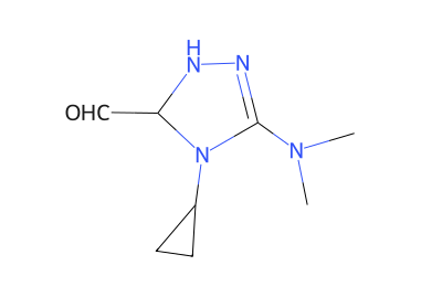 CN(C)C1=NNC(C=O)N1C1CC1